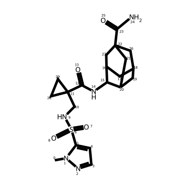 Cn1nccc1S(=O)(=O)NCC1(C(=O)NC2C3CC4CC2CC(C(N)=O)(C4)C3)CC1